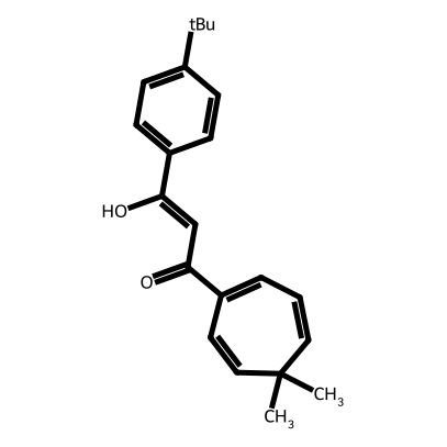 CC1(C)C=CC=C(C(=O)/C=C(\O)c2ccc(C(C)(C)C)cc2)C=C1